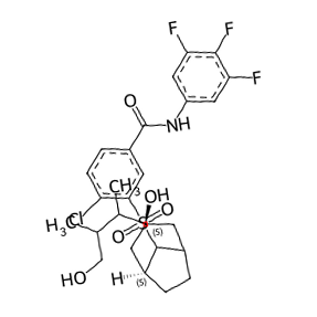 CC(CO)C(C)[C@]1(O)CC2CC[C@@H](C1)C2S(=O)(=O)c1cc(C(=O)Nc2cc(F)c(F)c(F)c2)ccc1Cl